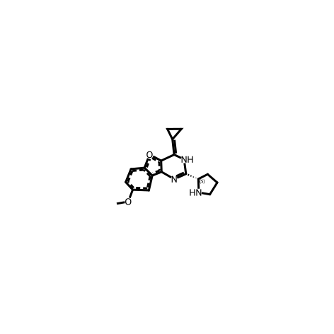 COc1ccc2oc3c(c2c1)N=C([C@@H]1CCCN1)NC3=C1CC1